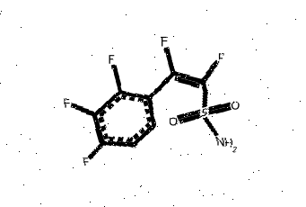 NS(=O)(=O)C(F)=C(F)c1ccc(F)c(F)c1F